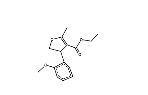 CCOC(=O)C1=C(C)OCC1c1ccccc1OC